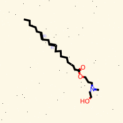 CCCCC/C=C/C/C=C/CCCCCCCC(=O)OCCCN(C)CCO